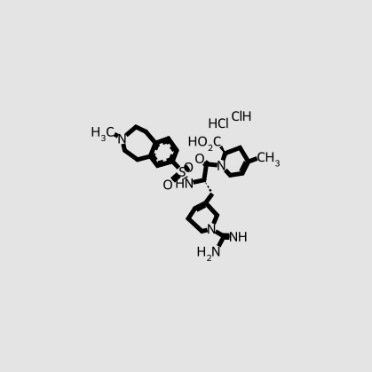 CC1=CCN(C(=O)[C@H](CC2=CCCN(C(=N)N)C2)NS(=O)(=O)c2ccc3c(c2)CCN(C)CC3)[C@@H](C(=O)O)C1.Cl.Cl